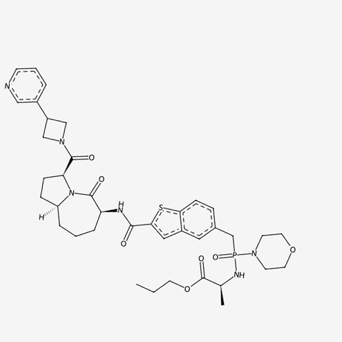 CCCOC(=O)[C@H](C)NP(=O)(Cc1ccc2sc(C(=O)N[C@H]3CCC[C@H]4CC[C@@H](C(=O)N5CC(c6cccnc6)C5)N4C3=O)cc2c1)N1CCOCC1